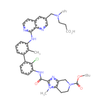 CCCN(CCC(=O)O)Cc1cnc2c(Nc3cccc(-c4cccc(NC(=O)c5nc6c(n5C)CCN(C(=O)OC(C)(C)C)C6)c4Cl)c3C)nccc2c1